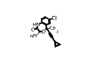 CCC[C@H]1O[C@](C#CC2CC2)(C(F)(F)F)c2cc(Cl)ccc2NC1=O